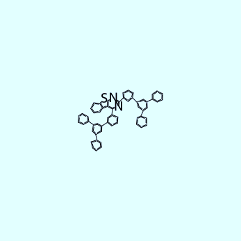 c1ccc(-c2cc(-c3ccccc3)cc(-c3cccc(-c4nc(-c5cccc(-c6cc(-c7ccccc7)cc(-c7ccccc7)c6)c5)c5c(n4)sc4ccccc45)c3)c2)cc1